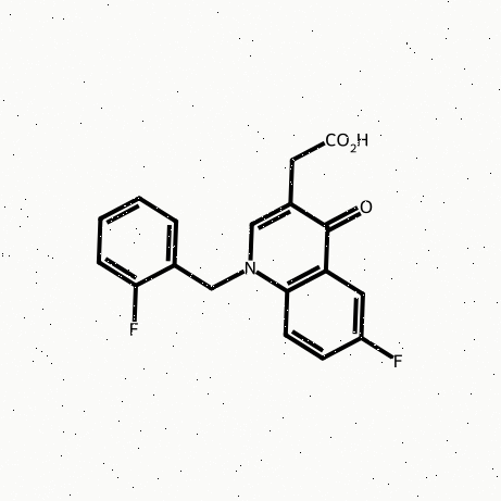 O=C(O)Cc1cn(Cc2ccccc2F)c2ccc(F)cc2c1=O